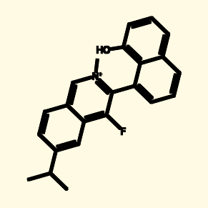 CC(C)c1ccc2c[n+](C)c(-c3cccc4cccc(O)c34)c(F)c2c1